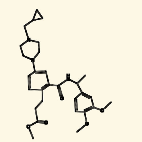 COC(=O)CCc1ccc(N2CCN(CC3CC3)CC2)cc1C(=O)NC(C)c1ccc(OC)c(OC)c1